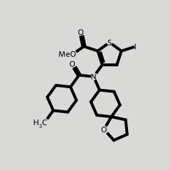 COC(=O)C1=C(N(C(=O)C2CCC(C)CC2)C2CCC3(CCCO3)CC2)CC(I)S1